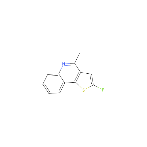 Cc1nc2ccccc2c2sc(F)cc12